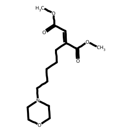 COC(=O)/C=C(\CCCCCN1CCOCC1)C(=O)OC